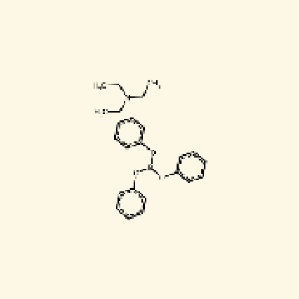 CCN(CC)CC.c1ccc(OB(Oc2ccccc2)Oc2ccccc2)cc1